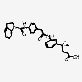 COC(CCC(=O)O)c1cccc(NC(=O)Cc2ccc(NC(=O)N3CCc4ccccc43)cc2)c1